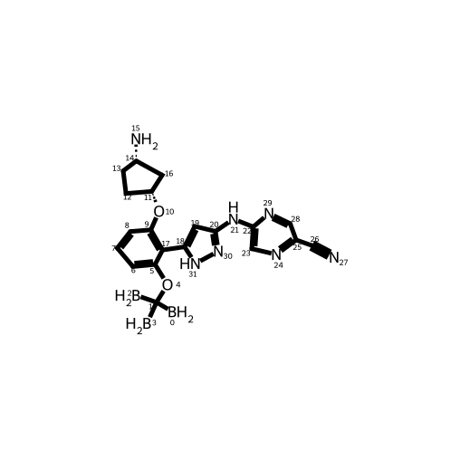 BC(B)(B)Oc1cccc(O[C@@H]2CC[C@H](N)C2)c1-c1cc(Nc2cnc(C#N)cn2)n[nH]1